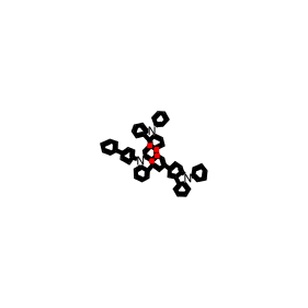 c1ccc(-c2ccc(N(c3ccccc3)c3ccccc3-c3cc(-c4ccc5c(c4)c4ccccc4n5-c4ccccc4)cc(-c4ccc5c(c4)c4ccccc4n5-c4ccccc4)c3)cc2)cc1